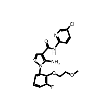 COCCOc1c(F)cccc1-n1ncc(C(=O)Nc2ccc(Cl)cn2)c1N